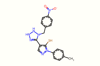 Cc1ccc(-n2ncc(C3=NNNN3Cc3ccc([N+](=O)[O-])cc3)c2S)cc1